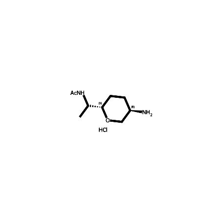 CC(=O)NC(C)[C@@H]1CC[C@@H](N)CO1.Cl